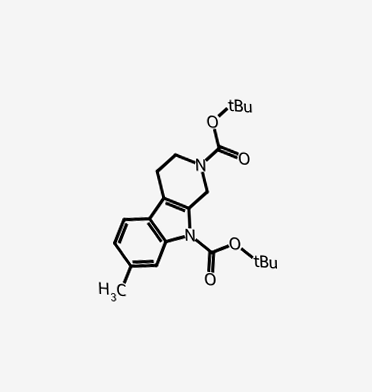 Cc1ccc2c3c(n(C(=O)OC(C)(C)C)c2c1)CN(C(=O)OC(C)(C)C)CC3